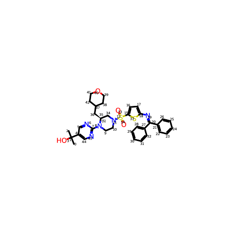 CC(C)(O)c1cnc(N2CCN(S(=O)(=O)c3ccc(N=C(c4ccccc4)c4ccccc4)s3)C[C@@H]2CC2CCOCC2)nc1